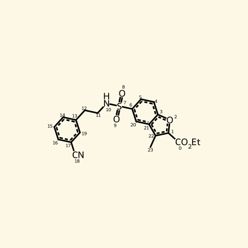 CCOC(=O)c1oc2ccc(S(=O)(=O)NCCc3cccc(C#N)c3)cc2c1C